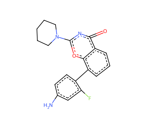 Nc1ccc(-c2cccc3c(=O)nc(N4CCCCC4)oc23)c(F)c1